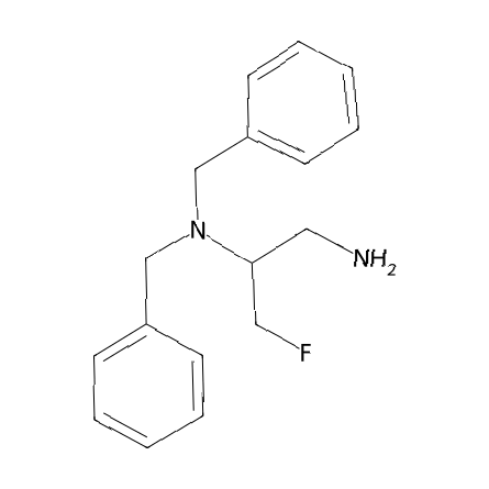 NCC(CF)N(Cc1ccccc1)Cc1ccccc1